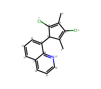 CC1=C(Cl)C(C)=C(Cl)[C]1c1cccc2cccnc12